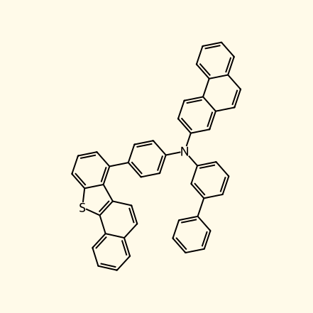 c1ccc(-c2cccc(N(c3ccc(-c4cccc5sc6c7ccccc7ccc6c45)cc3)c3ccc4c(ccc5ccccc54)c3)c2)cc1